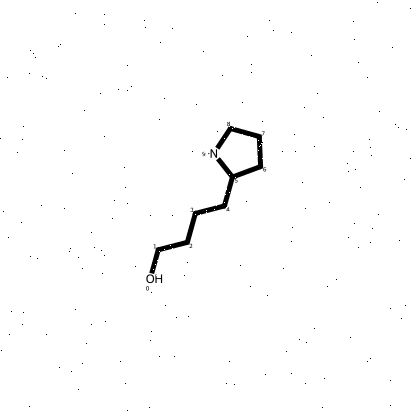 OCCCCC1CCC[N]1